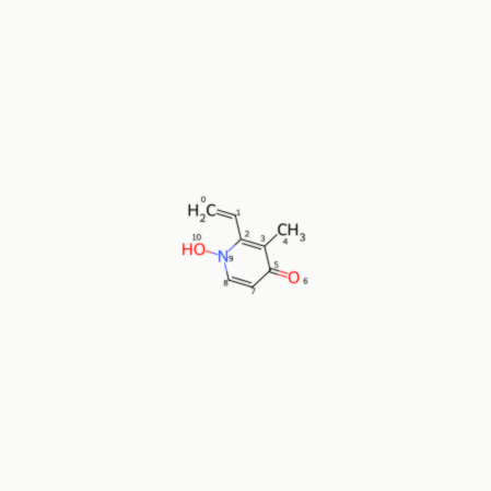 C=Cc1c(C)c(=O)ccn1O